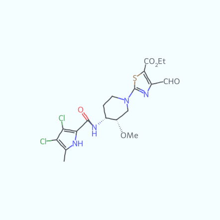 CCOC(=O)c1sc(N2CC[C@@H](NC(=O)c3[nH]c(C)c(Cl)c3Cl)[C@@H](OC)C2)nc1C=O